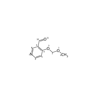 COCOc1ccncc1C=O